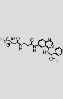 CC(Nc1ncnc2ccc(NC(=O)CCNC(=O)CS(C)(=O)=O)cc12)c1ccccc1